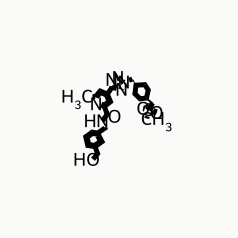 Cc1cc(-c2nnn(C[C@H]3CC[C@H](CS(C)(=O)=O)CC3)n2)cc(C(=O)NCc2cccc(CO)c2)n1